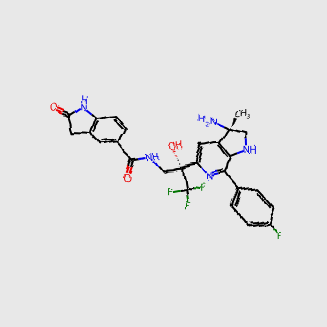 C[C@@]1(N)CNc2c1cc([C@](O)(CNC(=O)c1ccc3c(c1)CC(=O)N3)C(F)(F)F)nc2-c1ccc(F)cc1